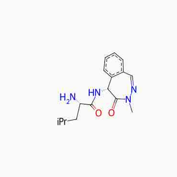 CC(C)C[C@H](N)C(=O)N[C@H]1C(=O)N(C)N=Cc2ccccc21